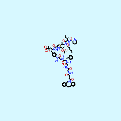 CCCCCON(C(=O)[C@@H](NC(=O)[C@H]1CCCCN1C)[C@@H](C)CC)[C@H](C[C@@H](OC(C)=O)c1nc(C(=O)N[C@@H](Cc2ccc(NC(=O)CNC(=O)[C@H](Cc3ccccc3)NC(=O)CNC(=O)CNC(=O)CCC(=O)N3Cc4ccccc4/C=C\c4ccccc43)cc2)CC(C)(C)C(=O)O)cs1)C(C)C